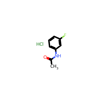 CC(=O)Nc1cccc(F)c1.Cl